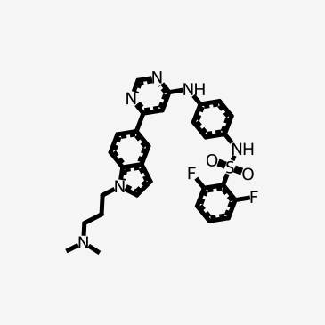 CN(C)CCCn1ccc2cc(-c3cc(Nc4ccc(NS(=O)(=O)c5c(F)cccc5F)cc4)ncn3)ccc21